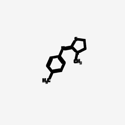 Cc1ccc(N=C2SCCN2C)cc1